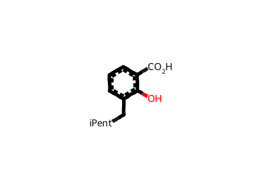 CCCC(C)Cc1cccc(C(=O)O)c1O